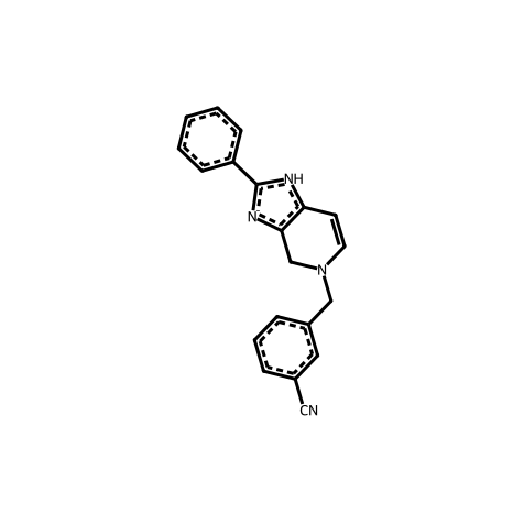 N#Cc1cccc(CN2C=Cc3[nH]c(-c4ccccc4)nc3C2)c1